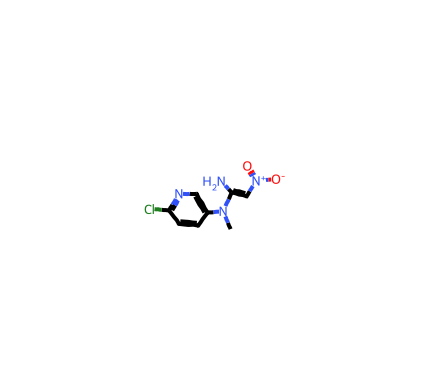 CN(/C(N)=C/[N+](=O)[O-])c1ccc(Cl)nc1